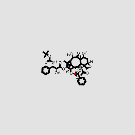 CC(=O)O[C@@]12CO[C@@H]1C[C@H](O)[C@@]1(C)C(=O)[C@H](O)C3=C(C)[C@@H](OC(=O)[C@H](O)[C@@H](NC(=O)OC(C)(C)C)c4ccccc4)[C@@H]4OC(=O)O[C@]4([C@@H](OC(=O)c4ccccc4)[C@H]21)C3(C)C